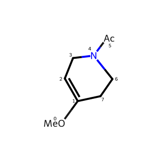 COC1=CCN(C(C)=O)CC1